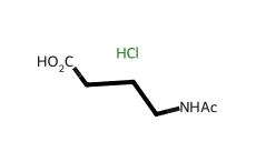 CC(=O)NCCCC(=O)O.Cl